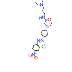 CCN(CC)CCCNC(=O)CN(CC)c1ccc(/N=N/c2ccc([N+](=O)[O-])cc2Cl)cc1